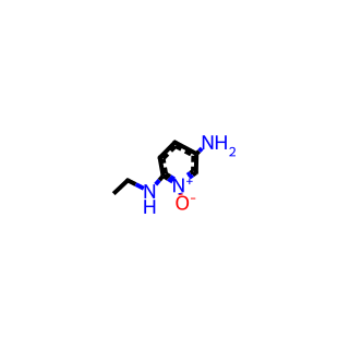 CCNc1ccc(N)c[n+]1[O-]